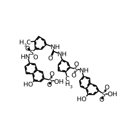 Cc1ccc(NC(=O)Nc2ccc(C)c(S(=O)(=O)Nc3ccc4c(O)cc(S(=O)(=O)O)cc4c3)c2)cc1S(=O)(=O)Nc1ccc2c(O)cc(S(=O)(=O)O)cc2c1